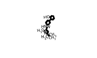 Cn1nc(C(C)(C)C)cc1-c1nc2cc(-c3ccccc3O)ccc2[nH]1